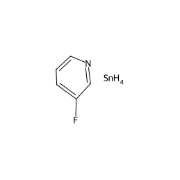 Fc1cccnc1.[SnH4]